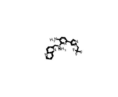 Nc1ccc(-c2cnn(CC(F)(F)F)c2)nc1N(N)Cc1ccc2ncccc2n1